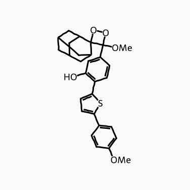 COc1ccc(-c2ccc(-c3ccc(C4(OC)OOC45C4CC6CC(C4)CC5C6)cc3O)s2)cc1